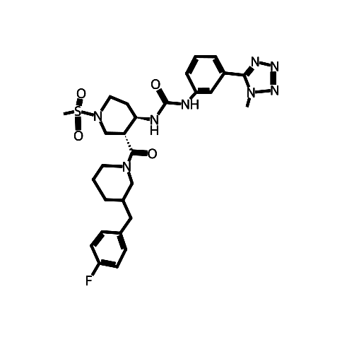 Cn1nnnc1-c1cccc(NC(=O)N[C@@H]2CCN(S(C)(=O)=O)C[C@H]2C(=O)N2CCCC(Cc3ccc(F)cc3)C2)c1